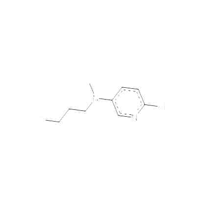 CN(CCCF)c1ccc(Cl)nc1